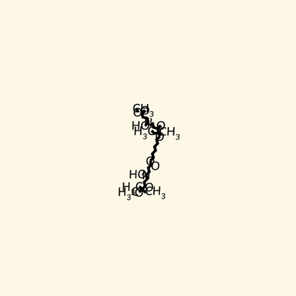 CCC(C)(OC)C(=O)CCN(O)CCC(=O)OCCCCCCOC(C)(CC)C(=O)CCN(O)CCC(=O)OC